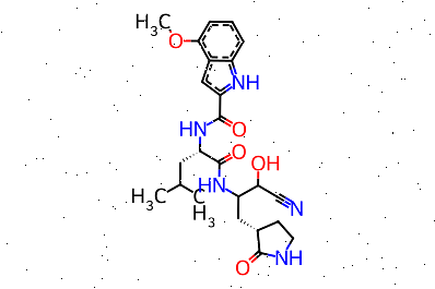 COc1cccc2[nH]c(C(=O)N[C@@H](CC(C)C)C(=O)NC(C[C@@H]3CCNC3=O)C(O)C#N)cc12